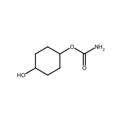 NC(=O)OC1CCC(O)CC1